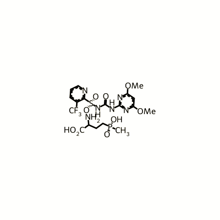 COc1cc(OC)nc(NC(=O)NS(=O)(=O)c2ncccc2C(F)(F)F)n1.CP(=O)(O)CCC(N)C(=O)O